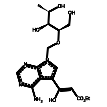 CCOC(=O)C=C(O)c1cn(CO[C@H](CO)[C@@H](O)[C@H](C)O)c2ncnc(N)c12